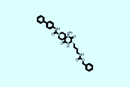 CCCN1C(=O)[C@H](CCCCNC(=O)OCc2ccccc2)NC(=O)C12CCN(C(=O)Nc1ccc(-c3ccccc3)cc1)CC2